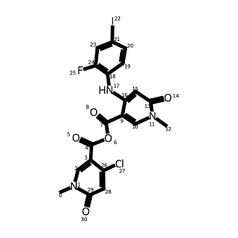 Cn1cc(C(=O)OC(=O)c2cn(C)c(=O)cc2Nc2ccc(I)cc2F)c(Cl)cc1=O